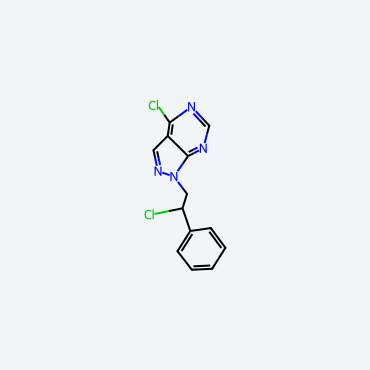 Clc1ncnc2c1cnn2CC(Cl)c1ccccc1